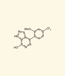 COc1cc(C(F)(F)F)ccc1-c1nnc(O)c2[nH]ncc12